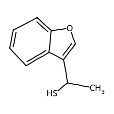 CC(S)c1coc2ccccc12